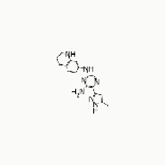 Cc1cc(-c2ncc(Nc3ccc4c(c3)NCCC4)nc2N)n[nH]1